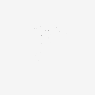 COc1ccc(-c2ccc3c(N4CCOC[C@@H]4C)nc(N4CCOC[C@@H]4C)nc3n2)cc1CNC1CCOCC1